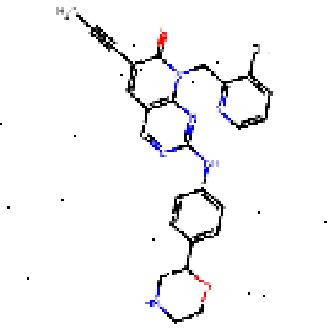 CC#Cc1cc2cnc(Nc3ccc(C4CNCCO4)cc3)nc2n(Cc2ncccc2C)c1=O